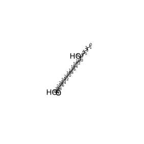 CCC=CCC=CCC(O)CCCCCCCCCCCCCCCCCCCCC(=O)O